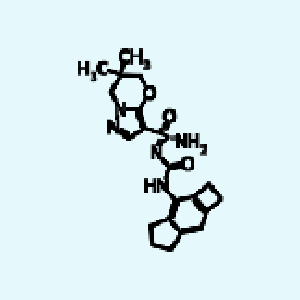 CC1(C)COc2c([S@@](N)(=O)=NC(=O)Nc3c4c(cc5c3CC5)CCC4)cnn2C1